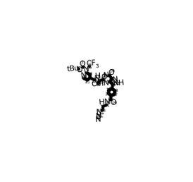 CC(C)(C)OC(=O)N(CC(F)(F)F)c1cc(-c2nc(C(=O)Nc3c(C(N)=O)n[nH]c3-c3ccc(C(=O)NCCCN=[N+]=[N-])cc3)co2)ccn1